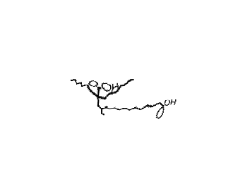 CCCCCCCC(CCCCCCC)(CC(CC)CCCCCCCCCCCC(=O)O)C(=O)O